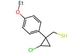 CCOc1ccc(C2(CS)CC2Cl)cc1